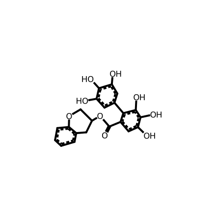 O=C(OC1COc2ccccc2C1)c1cc(O)c(O)c(O)c1-c1cc(O)c(O)c(O)c1